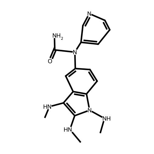 CNc1c(NC)n(NC)c2ccc(N(C(N)=O)c3cccnc3)cc12